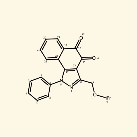 CC(C)OCc1nn(-c2ccccc2)c2c1C(=O)C(=O)c1ccccc1-2